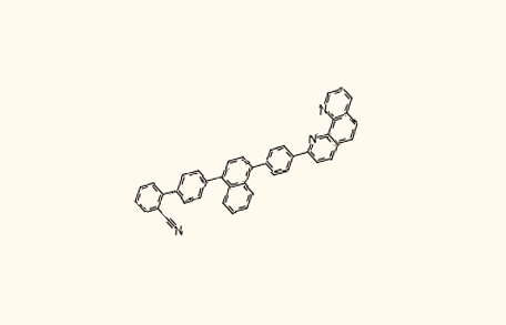 N#Cc1ccccc1-c1ccc(-c2ccc(-c3ccc(-c4ccc5ccc6cccnc6c5n4)cc3)c3ccccc23)cc1